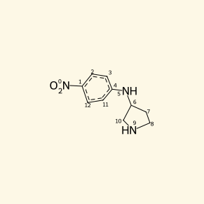 O=[N+]([O-])c1ccc(NC2CCNC2)cc1